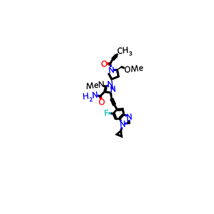 CC#CC(=O)N1C[C@@H](n2nc(C#Cc3cc4ncn(C5CC5)c4cc3F)c(C(N)=O)c2NC)C[C@@H]1COC